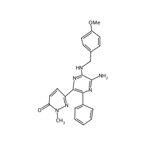 COc1ccc(CNc2nc(-c3ccc(=O)n(C)n3)c(-c3ccccc3)nc2N)cc1